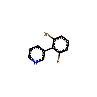 Brc1cccc(Br)c1-c1c[c]cnc1